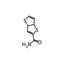 NC(=O)C1=CC2SC=CC2S1